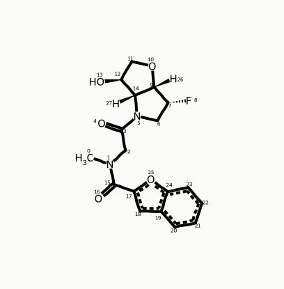 CN(CC(=O)N1C[C@@H](F)[C@H]2OC[C@H](O)[C@H]21)C(=O)c1cc2ccccc2o1